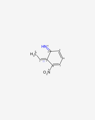 C/C=C1\C(=N)C=CC=C1[N+](=O)[O-]